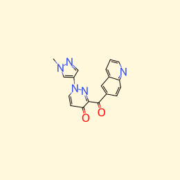 Cn1cc(-n2ccc(=O)c(C(=O)c3ccc4ncccc4c3)n2)cn1